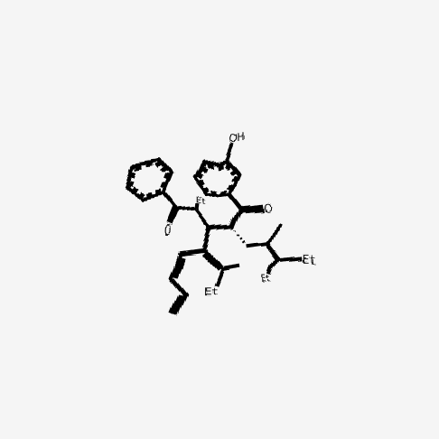 C=C/C=C\C(=C(\C)CC)C(C(CC)C(=O)c1ccccc1)[C@@H](CC(C)C(CC)CC)C(=O)c1cccc(O)c1